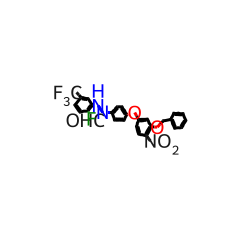 O=CN(Nc1cc(C(F)(F)F)ccc1F)c1ccc(Oc2ccc([N+](=O)[O-])c(OCc3ccccc3)c2)cc1